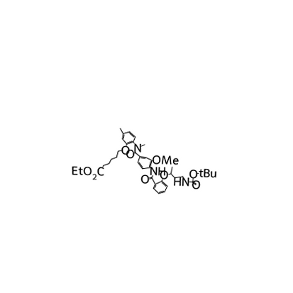 CCOC(=O)CCCCCOc1cc(C)ccc1N(C)C(=O)c1ccc(NC(=O)c2ccccc2OC(C)CCNC(=O)OC(C)(C)C)c(OC)c1